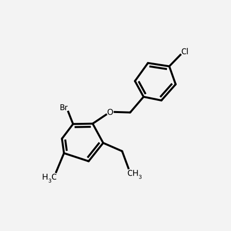 CCc1cc(C)cc(Br)c1OCc1ccc(Cl)cc1